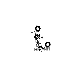 O=C(Oc1cc(Nc2ccccc2)n[nH]1)Oc1cc(Nc2ccccc2)n[nH]1